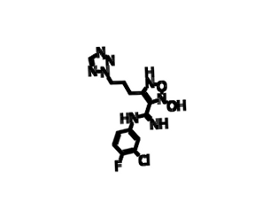 N=C(Nc1ccc(F)c(Cl)c1)C1=C(CCCn2ncnn2)NON1O